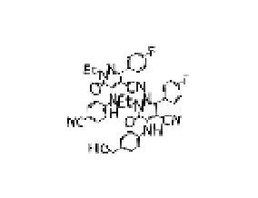 CCn1nc(-c2ccc(F)cc2)c(C#N)c(Nc2ccc(C#N)cc2)c1=O.CCn1nc(-c2ccc(F)cc2)c(C#N)c(Nc2ccc(CO)cc2)c1=O